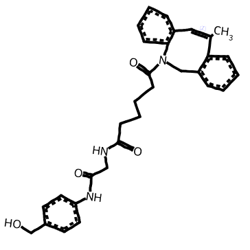 C/C1=C/c2ccccc2N(C(=O)CCCCC(=O)NCC(=O)Nc2ccc(CO)cc2)Cc2ccccc21